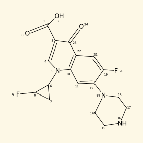 O=C(O)c1cn(C2CC2F)c2cc(N3CCNCC3)c(F)cc2c1=O